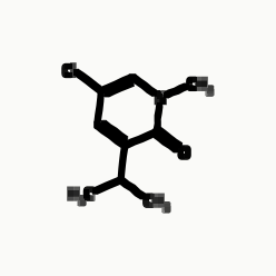 CC(C)c1cc(Cl)cn(C)c1=O